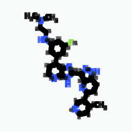 Cc1ccncc1-c1ccc2[nH]nc(-c3nc4c(-c5cc(F)cc(NCCN(C)C)c5)ccnc4[nH]3)c2n1